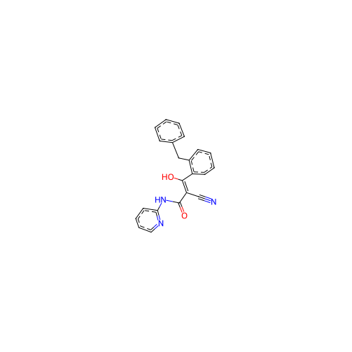 N#CC(C(=O)Nc1ccccn1)=C(O)c1ccccc1Cc1ccccc1